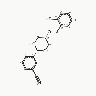 N#Cc1cccc([C@H]2OC[C@@H](OCc3ccccc3F)CO2)c1